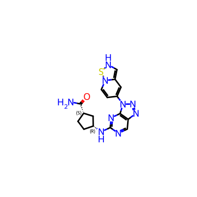 NC(=O)[C@H]1CC[C@@H](Nc2ncc3nnn(C4=CC5=CNSN5C=C4)c3n2)C1